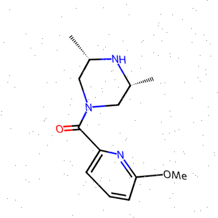 COc1cccc(C(=O)N2C[C@@H](C)N[C@@H](C)C2)n1